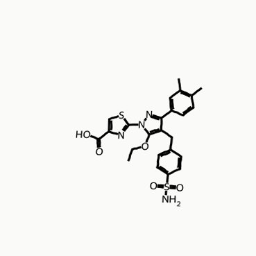 CCOc1c(Cc2ccc(S(N)(=O)=O)cc2)c(-c2ccc(C)c(C)c2)nn1-c1nc(C(=O)O)cs1